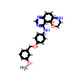 COc1cccc(COc2ccc(Nc3ncnc4ccc5c(c34)OCCN5)cc2)c1